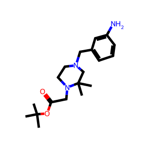 CC(C)(C)OC(=O)CN1CCN(Cc2cccc(N)c2)CC1(C)C